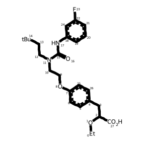 CCOC(Cc1ccc(OCCN(CCC(C)(C)C)C(=O)Nc2cccc(F)c2)cc1)C(=O)O